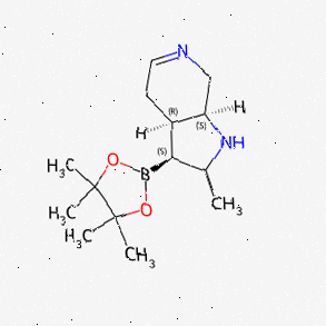 CC1N[C@@H]2CN=CC[C@@H]2[C@@H]1B1OC(C)(C)C(C)(C)O1